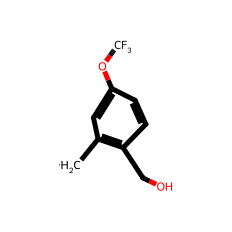 [CH2]c1cc(OC(F)(F)F)ccc1CO